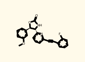 COc1cccc([C@H]2OC(=O)N[C@@H]2c2cccc(C#Cc3ccccc3F)n2)c1